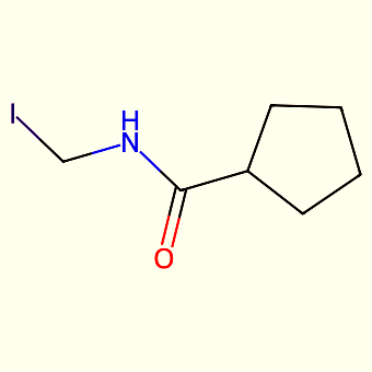 O=C(NCI)C1CCCC1